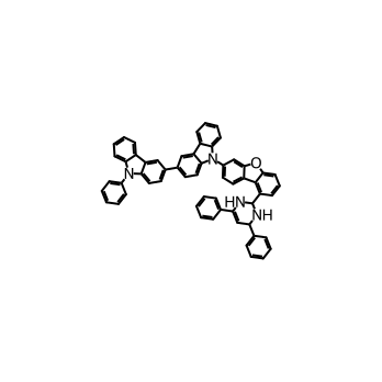 C1=C(c2ccccc2)NC(c2cccc3oc4cc(-n5c6ccccc6c6cc(-c7ccc8c(c7)c7ccccc7n8-c7ccccc7)ccc65)ccc4c23)NC1c1ccccc1